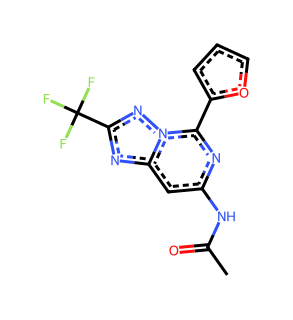 CC(=O)Nc1cc2nc(C(F)(F)F)nn2c(-c2ccco2)n1